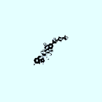 O=C1C[C@]2(NC(=O)N(CC(=O)N(Cc3ccc(F)cc3)C3(C(F)(F)F)CC(F)(F)C3)C2=O)c2ccc(-c3cnn(C4CN(C5COC5)C4)c3)cc21